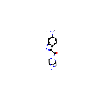 CN(C)c1ccc2c(C(=O)N3CC4CC3CN4C)n[nH]c2c1